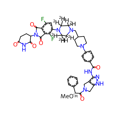 [2H]C1([2H])N(CC2CCN(c3ccc(C(=O)Nc4n[nH]c5c4CN(C(=O)[C@H](OC)c4ccccc4)C5)cc3)CC2)C([2H])([2H])C([2H])([2H])N(c2cc(F)c3c(c2F)C(=O)N(C2CCC(=O)NC2=O)C3=O)C1([2H])[2H]